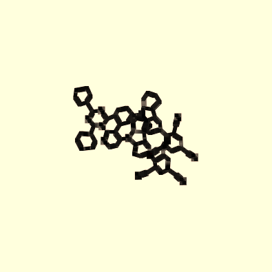 N#Cc1cc(C#N)c(-c2ccc3c(c2)c2ccccc2n3-c2ccc(-c3nc(-c4ccccc4)nc(-c4ccccc4)n3)c(-c3cnccc3-n3c4ccccc4c4cc(-c5c(C#N)cc(C#N)cc5C#N)ccc43)c2)c(C#N)c1